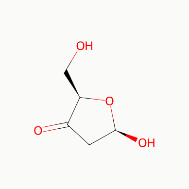 O=C1C[C@H](O)O[C@@H]1CO